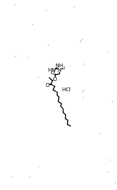 CCCCCCCCCCCCCCCC(=O)C(C)OC(=O)CN(C)C(=N)N.Cl